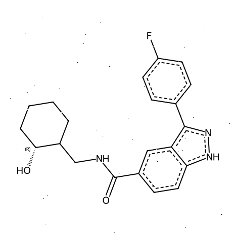 O=C(NCC1CCCC[C@H]1O)c1ccc2[nH]nc(-c3ccc(F)cc3)c2c1